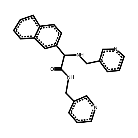 O=C(NCc1cccnc1)C(NCc1cccnc1)c1ccc2ccccc2c1